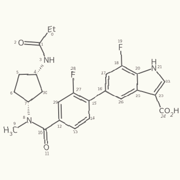 CCC(=O)N[C@H]1CC[C@@H](N(C)C(=O)c2ccc(-c3cc(F)c4[nH]cc(C(=O)O)c4c3)c(F)c2)C1